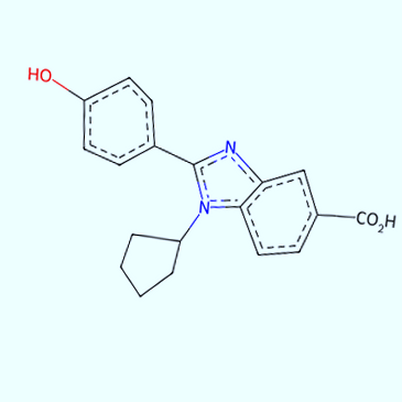 O=C(O)c1ccc2c(c1)nc(-c1ccc(O)cc1)n2C1CCCC1